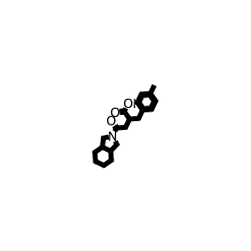 Cc1ccc(CC(CC(=O)N2CC3CCCCC3C2)C(=O)O)cc1